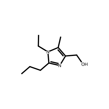 CCCc1nc(CO)c(C)n1CC